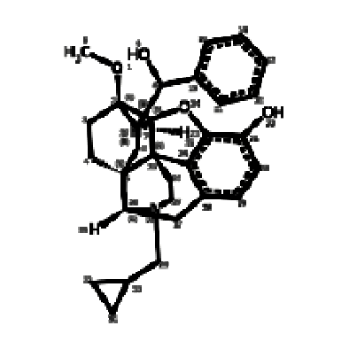 CO[C@]12CC[C@@]3(C[C@@H]1C(O)c1ccccc1)[C@H]1Cc4ccc(O)c5c4[C@@]3(CCN1CC1CC1)[C@H]2O5